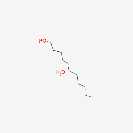 CCCCCCCCCCCO.O